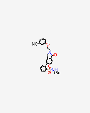 CC(C)(C)NS(=O)(=O)c1ccccc1-c1ccc2c(c1)CN(CCOc1cccc(C#N)c1)C2=O